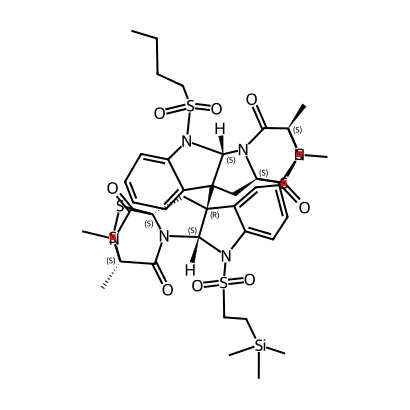 CCCCS(=O)(=O)N1c2ccccc2C2([C@]34C[C@@]56SS[C@@](C)(C(=O)N5[C@H]3N(S(=O)(=O)CC[Si](C)(C)C)c3ccccc34)N(C)C6=O)C[C@@]34SS[C@@](C)(C(=O)N3[C@@H]12)N(C)C4=O